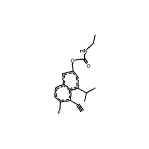 C#Cc1c(F)ccc2cc(OC(=O)NCC)cc(C(C)C)c12